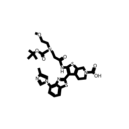 COCCN(CCC(=O)Nc1sc2c(c1-c1nc3c(-n4cnc(C)c4)cccc3s1)CCN(C(=O)O)C2)C(=O)OC(C)(C)C